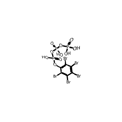 O=P(O)(O)OP(=O)(O)OP(=O)(O)Oc1c(Br)c(Br)c(Br)c(Br)c1Br